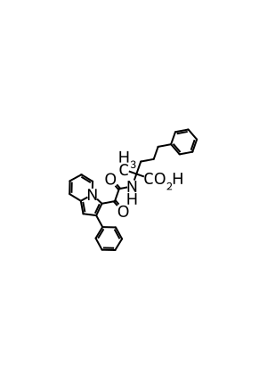 CC(CCCc1ccccc1)(NC(=O)C(=O)c1c(-c2ccccc2)cc2ccccn12)C(=O)O